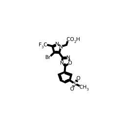 CS(=O)(=O)c1cccc(-c2nc(-c3c(Br)c(C(F)(F)F)nn3CC(=O)O)no2)c1